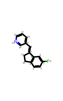 Fc1ccc2c(c1)/C(=C/c1cccnc1)CC2